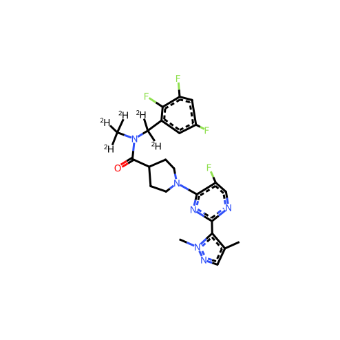 [2H]C([2H])([2H])N(C(=O)C1CCN(c2nc(-c3c(C)cnn3C)ncc2F)CC1)C([2H])([2H])c1cc(F)cc(F)c1F